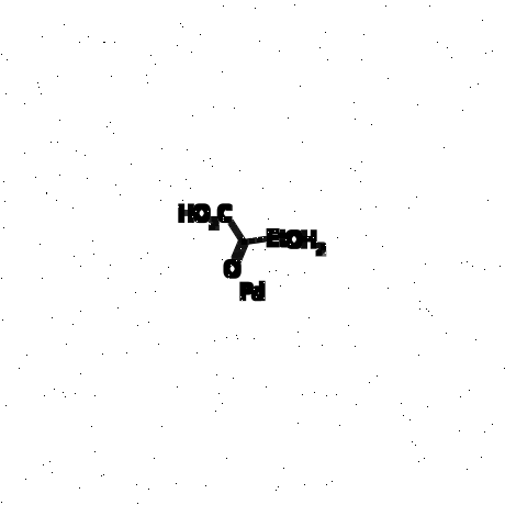 CCC(=O)C(=O)O.O.[Pd]